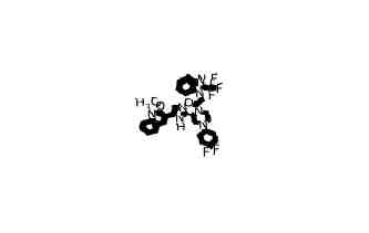 COc1nc2ccccc2cc1-c1cnc([C@@H]2CN(C3CCC(F)(F)CC3)CCN2C(=O)Cn2c(C(F)(F)F)nc3ccccc32)[nH]1